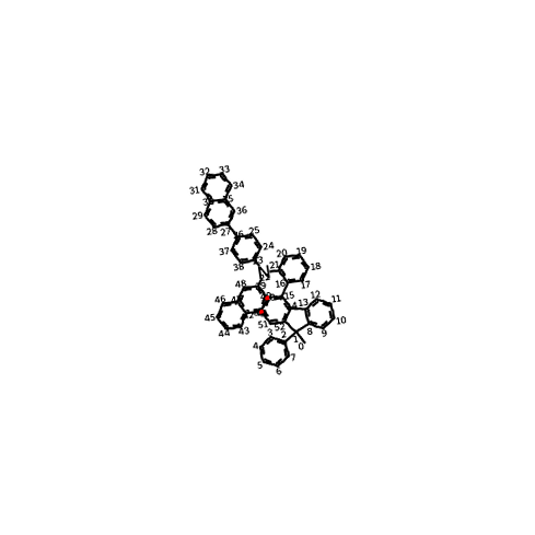 CC1(c2ccccc2)c2ccccc2-c2c(-c3ccccc3N(c3ccc(-c4ccc5ccccc5c4)cc3)c3ccc4ccccc4c3)cccc21